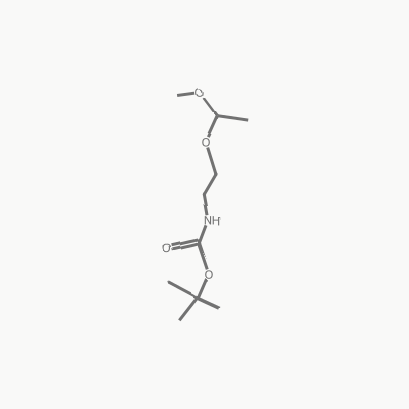 COC(C)OCCNC(=O)OC(C)(C)C